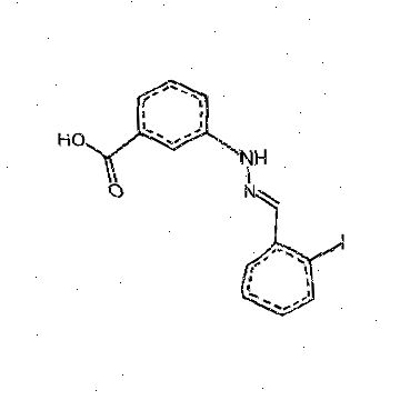 O=C(O)c1cccc(N/N=C/c2ccccc2I)c1